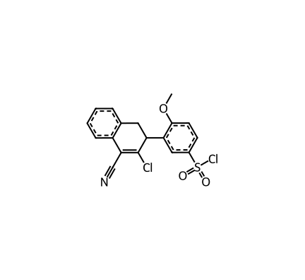 COc1ccc(S(=O)(=O)Cl)cc1C1Cc2ccccc2C(C#N)=C1Cl